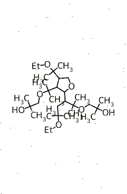 CCOC(C)(C)CC(C1OCC(C(C)(C)OCC)C1C(C)(C)OCC(C)(C)O)C(C)(C)OCC(C)(C)O